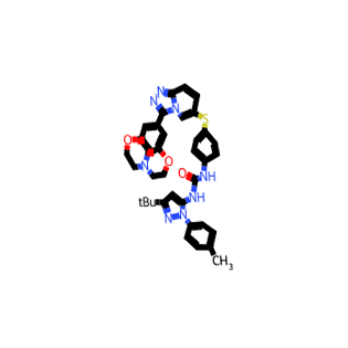 Cc1ccc(-n2nc(C(C)(C)C)cc2NC(=O)Nc2ccc(Sc3ccc4nnc(-c5cccc(OCCN6CCOCC6)c5)n4c3)cc2)cc1